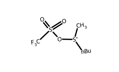 CCCC[S+](C)OS(=O)(=O)C(F)(F)F